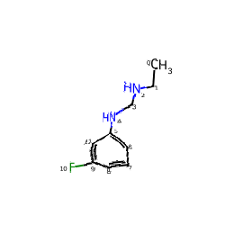 CCNCNc1cccc(F)c1